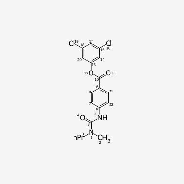 CCCN(C)C(=O)Nc1ccc(C(=O)Oc2cc(Cl)cc(Cl)c2)cc1